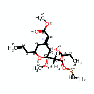 [3H]BSOCC(C)(C)[C@]1(OC)OC(CC=C)C/C(=C\C(=O)OC)[C@@H]1OC(=O)CC